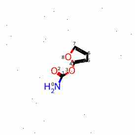 NC(=O)Oc1ccco1